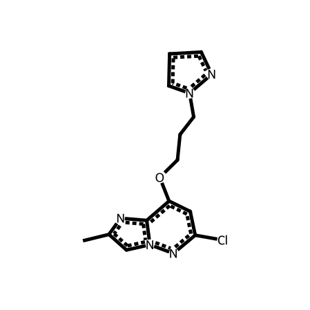 Cc1cn2nc(Cl)cc(OCCCn3cccn3)c2n1